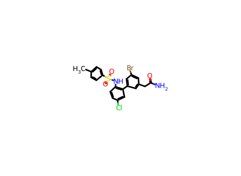 Cc1ccc(S(=O)(=O)Nc2ccc(Cl)cc2-c2cc(Br)cc(CC(N)=O)c2)cc1